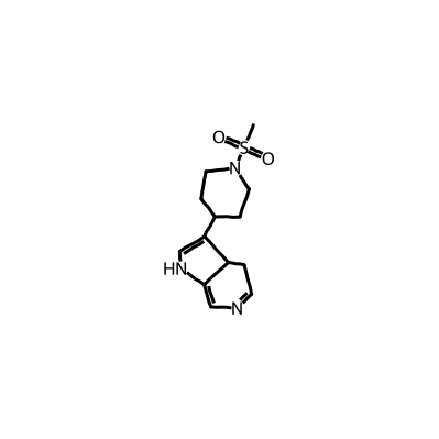 CS(=O)(=O)N1CCC(C2=CNC3=CN=CCC32)CC1